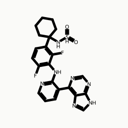 O=[SH](=O)NC1(c2ccc(F)c(Nc3ncccc3-c3ncnc4[nH]cnc34)c2F)CCCCC1